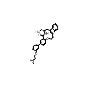 CCOc1ccc(-c2cccc(OCCN(C)C)c2)cc1C(=O)N[C@@H](CO)Cc1c[nH]c2ccccc12